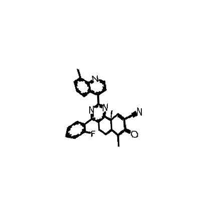 Cc1cccc2c(-c3nc(-c4ccccc4F)c4c(n3)[C@]3(C)C=C(C#N)C(=O)C(C)C3CC4)ccnc12